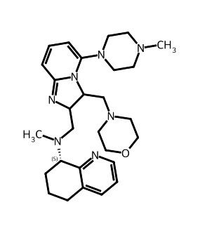 CN1CCN(C2=CC=CC3=NC(CN(C)[C@H]4CCCc5cccnc54)C(CN4CCOCC4)N23)CC1